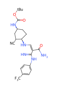 CC(C)(C)OC(=O)N[C@H]1CC[C@@H](N/C=C(\C(=N)Nc2ccc(C(F)(F)F)cc2)C(N)=O)C(C#N)C1